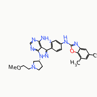 COCCN1CC[C@@H](n2nc(-c3ccc(Nc4nc5cc(C)cc(C)c5o4)cc3)c3c(N)ncnc32)C1